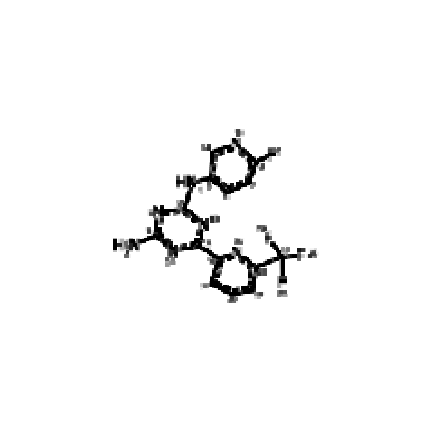 Nc1nc(Nc2ccc(F)nc2)nc(-c2cccc(C(F)(F)F)n2)n1